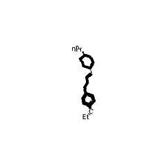 CCC[C@H]1CC[C@H](C=CCCc2ccc(OCC)cc2)CC1